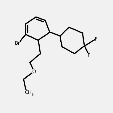 CCOCCC1C(Br)=CC=CC1C1CCC(F)(F)CC1